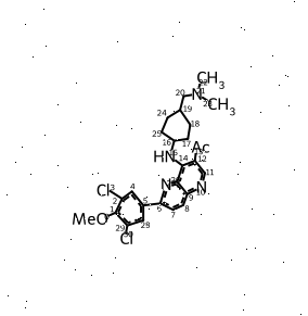 COc1c(Cl)cc(-c2ccc3ncc(C(C)=O)c(NC4CCC(CN(C)C)CC4)c3n2)cc1Cl